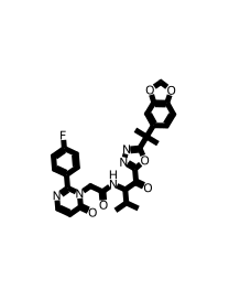 CC(C)C(NC(=O)Cn1c(-c2ccc(F)cc2)nccc1=O)C(=O)c1nnc(C(C)(C)c2ccc3c(c2)OCO3)o1